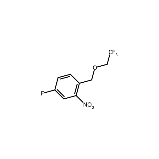 O=[N+]([O-])c1cc(F)ccc1COCC(F)(F)F